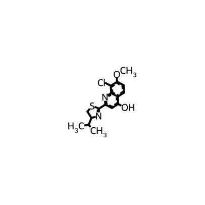 COc1ccc2c(O)cc(C3=NC(C(C)C)CS3)nc2c1Cl